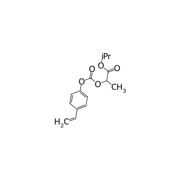 C=Cc1ccc(OC(=O)OC(C)C(=O)OC(C)C)cc1